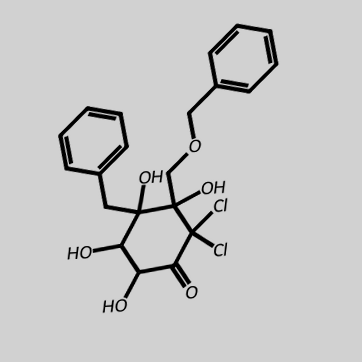 O=C1C(O)C(O)C(O)(Cc2ccccc2)C(O)(COCc2ccccc2)C1(Cl)Cl